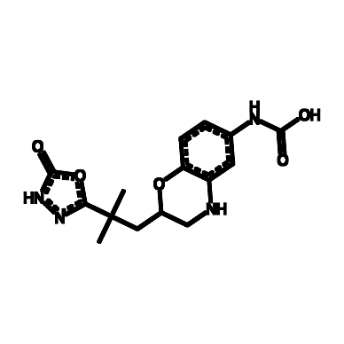 CC(C)(CC1CNc2cc(NC(=O)O)ccc2O1)c1n[nH]c(=O)o1